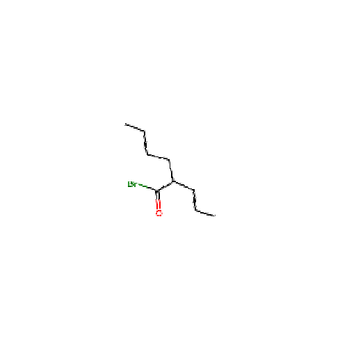 CCCCC(CCC)C(=O)Br